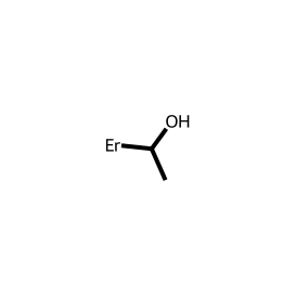 C[CH](O)[Er]